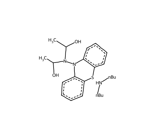 CC(O)N(C(C)O)N1c2ccccc2Sc2ccccc21.CCCCNCCCC